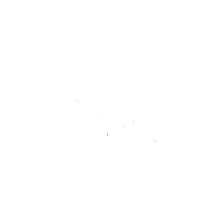 Cc1ccc2c([C@@H](C)N(C(=O)[C@H]3CN(Cc4ccccc4)[C@@H](CO)CO3)C3CC3)nn(CCCNC(=O)O)c2n1